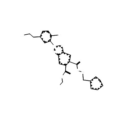 CCCc1ccc(O)c(-n2nc3cc(C(=O)NNCc4ccccc4)c(C(=O)OCC)cc3n2)c1